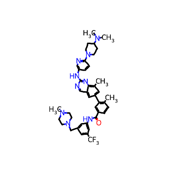 Cc1ccc(C(=O)Nc2cc(CN3CCN(C)CC3)cc(C(F)(F)F)c2)cc1-c1cc(C)c2nc(Nc3ccc(N4CCC(N(C)C)CC4)nc3)ncc2c1